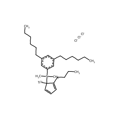 CCCCCCc1cc(CCCCCC)cc([Si](C)(C)[C]2([Ti+3])C=CC=C2CCCC)c1.[Cl-].[Cl-].[Cl-]